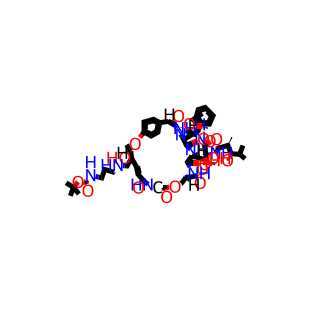 CC[C@H](C)[C@H]1NC(=O)[C@@H](NC(=O)[C@H](C)[C@H](O)C(C)C)[C@@H](C)OC(=O)[C@@H]2COC(=O)CNC(=O)/C=C/[C@](O)(CNCCCNC(=O)OC(C)(C)C)[C@@H](C)Oc3ccc(cc3)[C@H](NC1=O)C(=O)N(C)[C@@H](Cc1ccccc1)C(=O)N[C@H]([C@@H](C)O)C(=O)N2